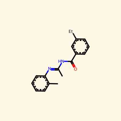 CCc1cccc(C(=O)N/C(C)=N/c2ccccc2C)c1